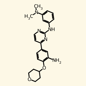 CN(C)c1cccc(Nc2nccc(-c3ccc(OC4CCOCC4)c(N)c3)n2)c1